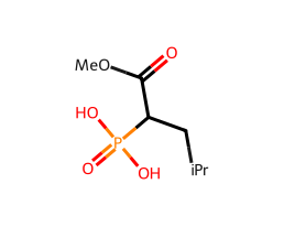 COC(=O)C(CC(C)C)P(=O)(O)O